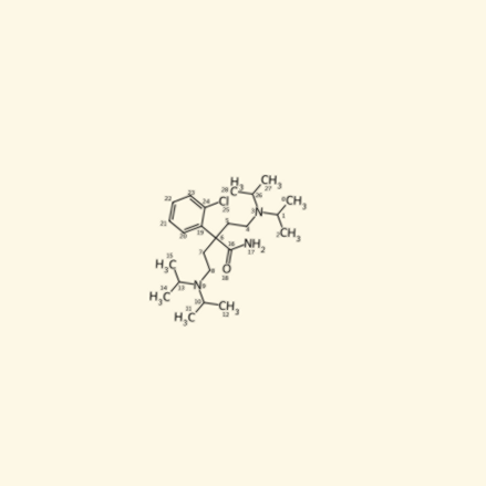 CC(C)N(CCC(CCN(C(C)C)C(C)C)(C(N)=O)c1ccccc1Cl)C(C)C